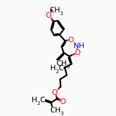 C=C(/C=c1/o[nH]oc(-c2ccc(OC)cc2)c/c1=C/C)CCCOC(=O)C(=C)C